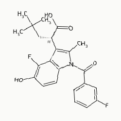 Cc1c([C@H](CC(C)(C)C)C(=O)O)c2c(F)c(O)ccc2n1C(=O)c1cccc(F)c1